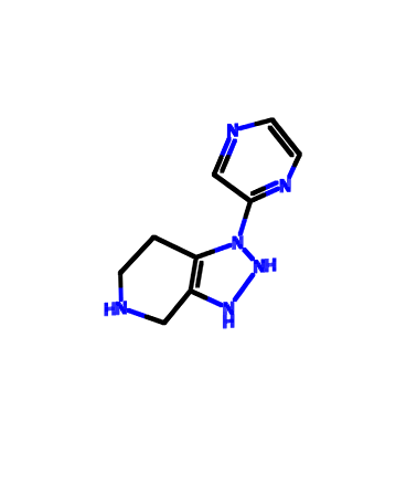 c1cnc(N2NNC3=C2CCNC3)cn1